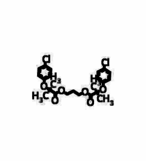 CC(C)(Oc1ccc(Cl)cc1)C(=O)OCCCOC(=O)C(C)(C)Oc1ccc(Cl)cc1